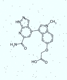 Cn1cc(-c2cc(C(N)=O)nc3[nH]ncc23)c2cc(OCC(=O)O)ccc21